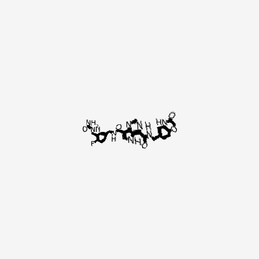 NC(=O)NCc1cc(CNC(=O)c2c[nH]c3c(C(=O)NCc4ccc5c(c4)NC(=O)CO5)ncnc23)ccc1F